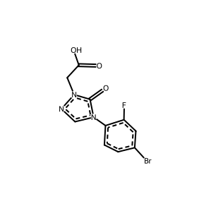 O=C(O)Cn1ncn(-c2ccc(Br)cc2F)c1=O